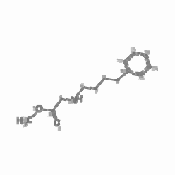 COC(=O)CNCCCCc1ccccc1